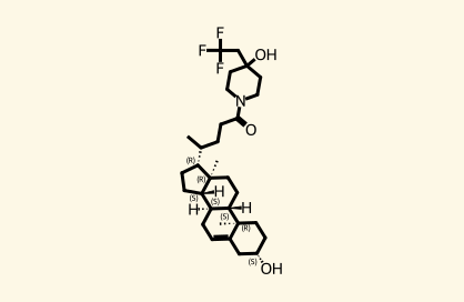 CC(CCC(=O)N1CCC(O)(CC(F)(F)F)CC1)[C@H]1CC[C@H]2[C@@H]3CC=C4C[C@@H](O)CC[C@]4(C)[C@H]3CC[C@]12C